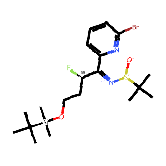 CC(C)(C)[S+]([O-])/N=C(\c1cccc(Br)n1)[C@H](F)CCO[Si](C)(C)C(C)(C)C